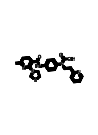 Cc1ccc(C(=O)Nc2ccc(N(CCc3ccccn3)C(=O)O)cc2)c(N2CCSC2)n1